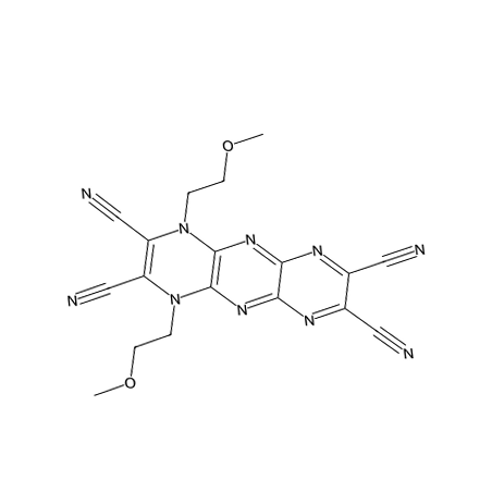 COCCN1C(C#N)=C(C#N)N(CCOC)c2nc3nc(C#N)c(C#N)nc3nc21